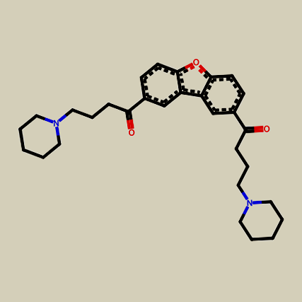 O=C(CCCN1CCCCC1)c1ccc2oc3ccc(C(=O)CCCN4CCCCC4)cc3c2c1